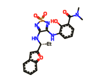 CC[C@@H](NC1=NS(=O)(=O)N=C1Nc1cccc(C(=O)N(C)C)c1O)c1cc2ccccc2o1